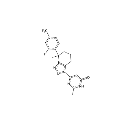 Cc1nc(-c2nnn3c2CCCC3(C)c2ccc(C(F)(F)F)cc2F)cc(=O)[nH]1